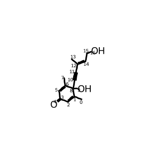 CC1=CC(=O)C=C(C)C1(O)C#C/C(C)=C/CO